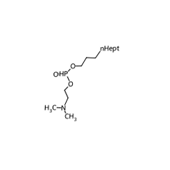 CCCCCCCCCCO[PH](=O)OCCN(C)C